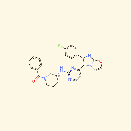 O=C(c1ccccc1)N1CCC[C@@H](Nc2nccc(C3C(c4ccc(F)cc4)N=C4OC=CN43)n2)C1